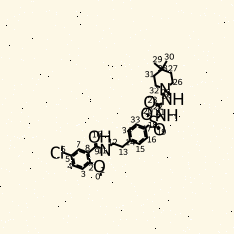 COc1ccc(Cl)cc1C(=O)NCCc1ccc(S(=O)(=O)NC(=O)NN2CCC(C)(C)CC2)cc1